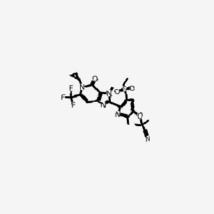 CCS(=O)(=O)c1cc(OC(C)(C)C#N)c(C)nc1-c1nc2cc(C(F)(F)F)n(C3CC3)c(=O)c2n1C